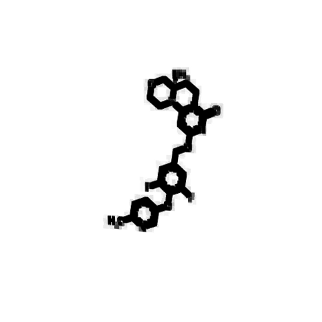 Cc1ccc(Oc2c(F)cc(COc3cc4n(c(=O)n3)CC[C@]3(N)COCCN43)cc2F)cn1